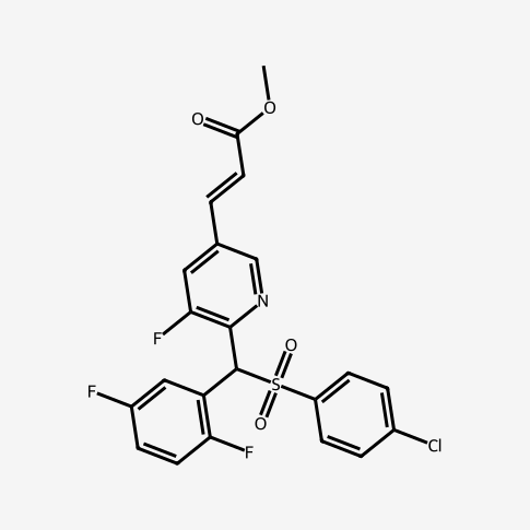 COC(=O)C=Cc1cnc(C(c2cc(F)ccc2F)S(=O)(=O)c2ccc(Cl)cc2)c(F)c1